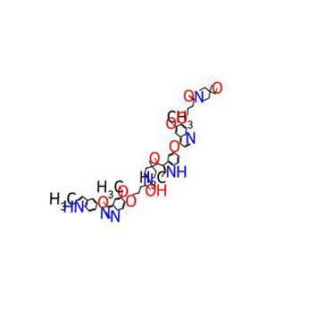 COc1cc2c(Oc3ccc4[nH]c(C)c(C5OCC56CCN(C(O)CCCOc5cc7ncnc(Oc8ccc9[nH]c(C)cc9c8)c7cc5OC)CC6)c4c3)ccnc2cc1OCCCC(=O)N1CCC2(CC1)COC2